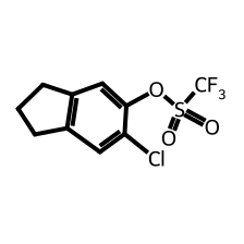 O=S(=O)(Oc1cc2c(cc1Cl)CCC2)C(F)(F)F